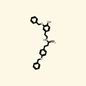 CC(CCc1ccc(OCc2ccccc2)cc1)NCCc1ccc(O)c(OCc2ccccc2)c1.Cl